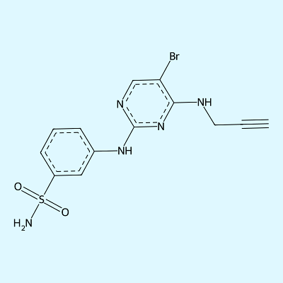 C#CCNc1nc(Nc2cccc(S(N)(=O)=O)c2)ncc1Br